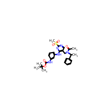 CC(=O)N(Cc1cnc(S(C)(=O)=O)nc1Nc1cccc(NC(=O)OC(C)(C)C)c1)C(C)c1ccccc1